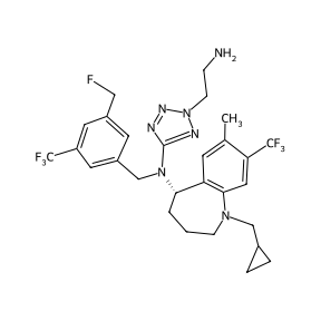 Cc1cc2c(cc1C(F)(F)F)N(CC1CC1)CCC[C@@H]2N(Cc1cc(CF)cc(C(F)(F)F)c1)c1nnn(CCN)n1